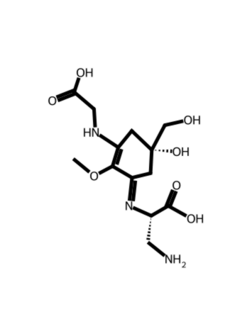 COC1=C(NCC(=O)O)C[C@@](O)(CO)C/C1=N\[C@@H](CN)C(=O)O